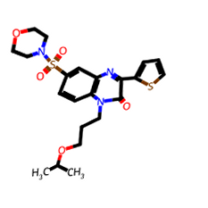 CC(C)OCCCn1c(=O)c(-c2cccs2)nc2cc(S(=O)(=O)N3CCOCC3)ccc21